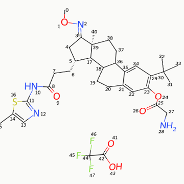 CO/N=C1\C[C@@H](CCC(=O)Nc2ncc(C)s2)C2C3CCc4cc(OC(=O)CN)c(C(C)(C)C)cc4C3CC[C@]12C.O=C(O)C(F)(F)F